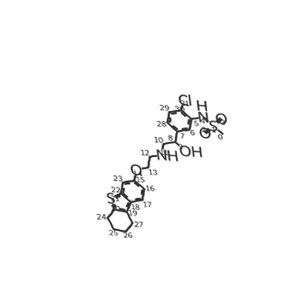 CS(=O)(=O)Nc1cc(C(O)CNCCOc2ccc3c4c(sc3c2)CCCC4)ccc1Cl